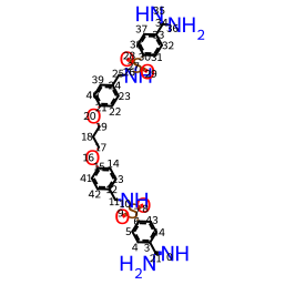 N=C(N)c1ccc(S(=O)(=O)NCc2ccc(OCCCOc3ccc(CNS(=O)(=O)c4ccc(C(=N)N)cc4)cc3)cc2)cc1